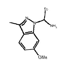 C[CH]C(N)n1nc(C)c2ccc(OC)cc21